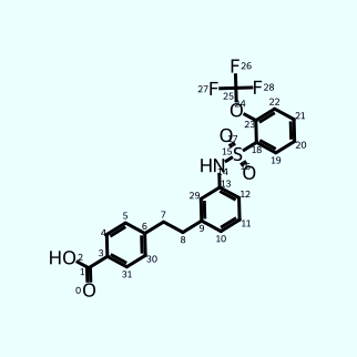 O=C(O)c1ccc(CCc2cccc(NS(=O)(=O)c3ccccc3OC(F)(F)F)c2)cc1